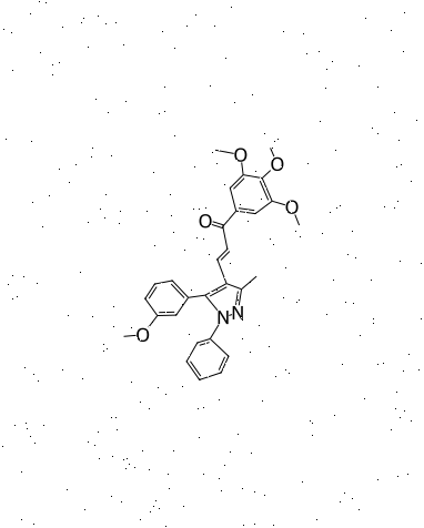 COc1cccc(-c2c(C=CC(=O)c3cc(OC)c(OC)c(OC)c3)c(C)nn2-c2ccccc2)c1